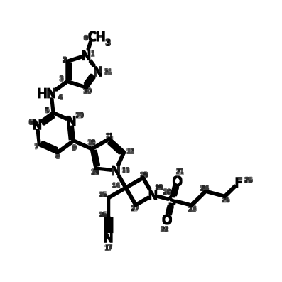 Cn1cc(Nc2nccc(-c3ccn(C4(CC#N)CN(S(=O)(=O)CCCF)C4)c3)n2)cn1